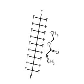 C=CC(=O)OCC.FC(F)(F)C(F)(F)C(F)(F)C(F)(F)C(F)(F)C(F)(F)C(F)(F)C(F)(F)C(F)(F)F